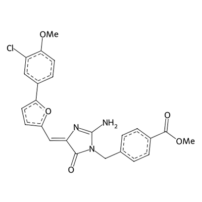 COC(=O)c1ccc(CN2C(=O)/C(=C/c3ccc(-c4ccc(OC)c(Cl)c4)o3)N=C2N)cc1